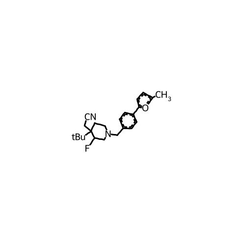 Cc1ccc(-c2ccc(CN3CCC(CC#N)(C(C)(C)C)C(F)C3)cc2)o1